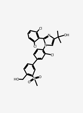 CC(C)(O)c1cn(-c2ccc(-c3ccc(CO)c(S(C)(=O)=O)c3)cc2Cl)c(-c2c(Cl)cccc2Cl)n1